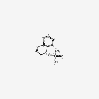 C1=Cc2ccccc2OC1.CS(=O)(=O)O